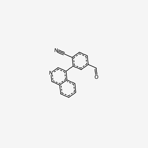 N#Cc1ccc(C=O)cc1-c1cncc2ccccc12